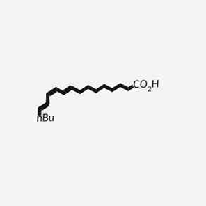 CCCC/C=C/C=C\C=C\CCCCCCCC(=O)O